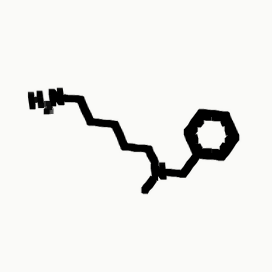 CN(CCCCCN)Cc1ccccc1